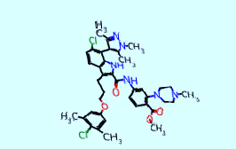 COC(=O)c1ccc(NC(=O)c2[nH]c3c(-c4c(C)nn(C)c4C)c(Cl)ccc3c2CCCOc2cc(C)c(Cl)c(C)c2)cc1N1CCN(C)CC1